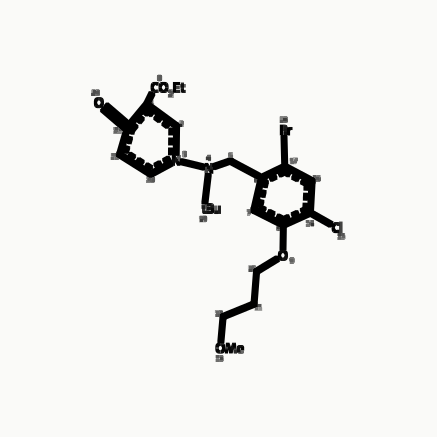 CCOC(=O)c1cn(N(Cc2cc(OCCCOC)c(Cl)cc2Br)C(C)(C)C)ccc1=O